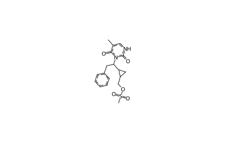 Cc1c[nH]c(=O)n(C(Cc2ccccc2)C2CC2COS(C)(=O)=O)c1=O